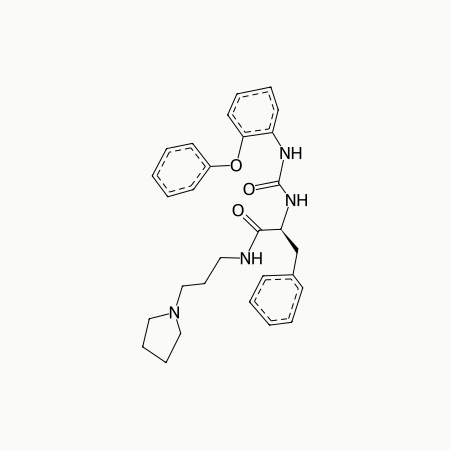 O=C(Nc1ccccc1Oc1ccccc1)N[C@@H](Cc1ccccc1)C(=O)NCCCN1CCCC1